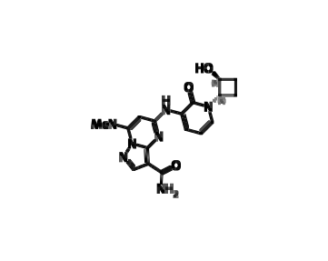 CNc1cc(Nc2cccn([C@H]3CC[C@@H]3O)c2=O)nc2c(C(N)=O)cnn12